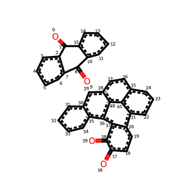 O=C1c2ccccc2C(=O)c2ccccc21.O=c1ccc2c3cccc4ccc5cc6ccccc6c(c2c1=O)c5c43